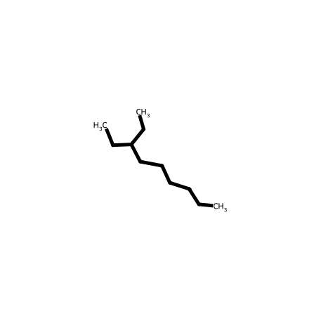 CC[CH]CCCC(CC)CC